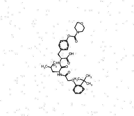 CC(C)C[C@H](NC(=O)COc1ccccc1C(C)(C)C)C(=O)N[C@@H](Cc1ccc(OC(=O)N2CCOCC2)cc1)C(=O)O